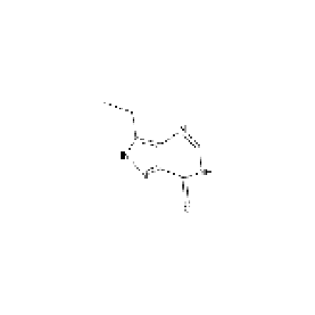 CCc1[nH]nc2c(=O)[nH]cnc12